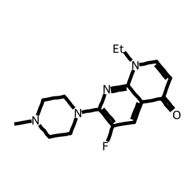 CCn1ccc(=O)c2cc(F)c(N3CCN(C)CC3)nc21